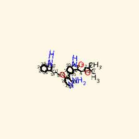 Cc1cc(C=C2C(=O)Nc3ccc(-c4c(OCCCc5c[nH]c6ccccc56)ccnc4N)cc32)oc1C